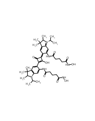 CC(C)N1c2cc(NC(=O)CCCC(=O)NO)c(C3=C(O)/C(=c4/cc5c(cc4NC(=O)CCCC(=O)NO)=[N+](C(C)C)C(C)C5(C)C)C3=O)cc2C(C)(C)C1C